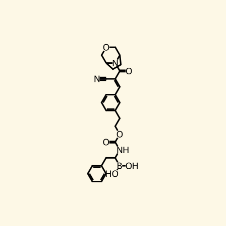 N#CC(=Cc1cccc(CCOC(=O)NC(Cc2ccccc2)B(O)O)c1)C(=O)N1C2CCC1COC2